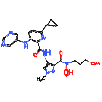 Cn1cc(NC(=O)c2nc(C3CC3)ccc2Nc2cncnc2)c(C(=O)N(O)CCCO)n1